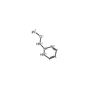 CC(C)ONN1N=CC=CN1